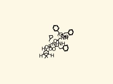 CC1(C)[C@H]2C[C@@H]1C1OB([C@H](CC3CCC3)NC(=O)[C@H](Cc3ccccc3)NC(=O)[C@H](CCc3ccccc3)NS(=O)(=O)Cc3ccccc3)O[C@@H]1C2